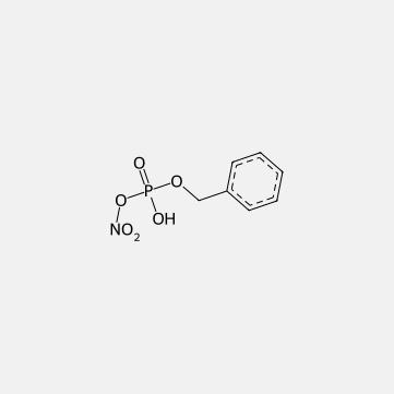 O=[N+]([O-])OP(=O)(O)OCc1ccccc1